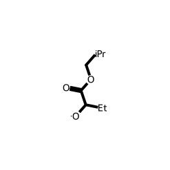 CCC([O])C(=O)OCC(C)C